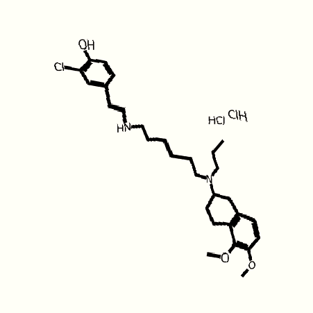 CCCN(CCCCCCNCCc1ccc(O)c(Cl)c1)C1CCc2c(ccc(OC)c2OC)C1.Cl.Cl